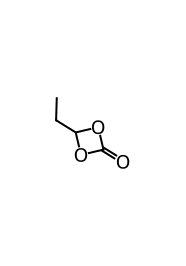 CCC1OC(=O)O1